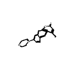 Cc1cc(=S)oc2cc3cc(N4CCOCC4)ccc3cc12